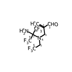 C=C(C=O)CN(CC(F)(F)F)C(N)(C(F)(F)F)C(F)(F)F